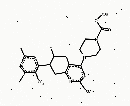 CSc1nc2c(c(N3CCN(C(=O)OC(C)(C)C)CC3)n1)CC(C)C(c1nc(C)cc(C)c1C(F)(F)F)C2